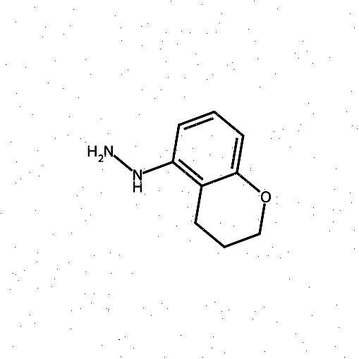 NNc1cccc2c1CCCO2